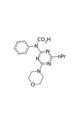 CCCc1nc(N2CCOCC2)nc(N(C(=O)O)c2ccccc2)n1